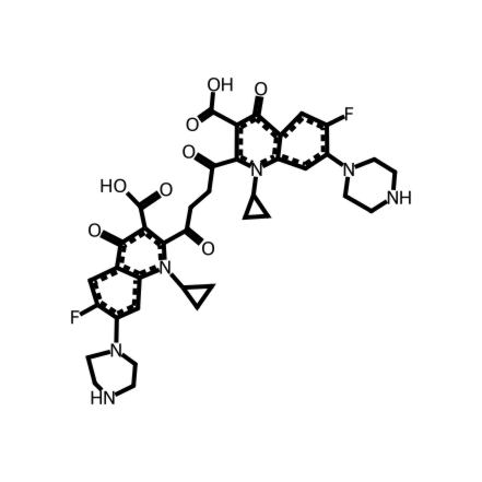 O=C(O)c1c(C(=O)CCC(=O)c2c(C(=O)O)c(=O)c3cc(F)c(N4CCNCC4)cc3n2C2CC2)n(C2CC2)c2cc(N3CCNCC3)c(F)cc2c1=O